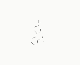 O=C(O)c1ccccc1-c1ccc(Br)cc1